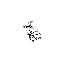 CCS(=O)(=O)NC12CC3CC(CC(C3)C1)C2